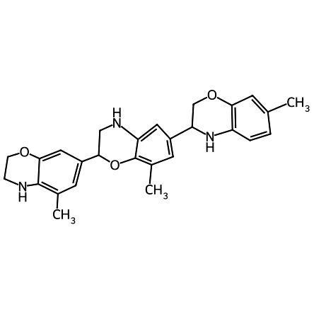 Cc1ccc2c(c1)OCC(c1cc(C)c3c(c1)NCC(c1cc(C)c4c(c1)OCCN4)O3)N2